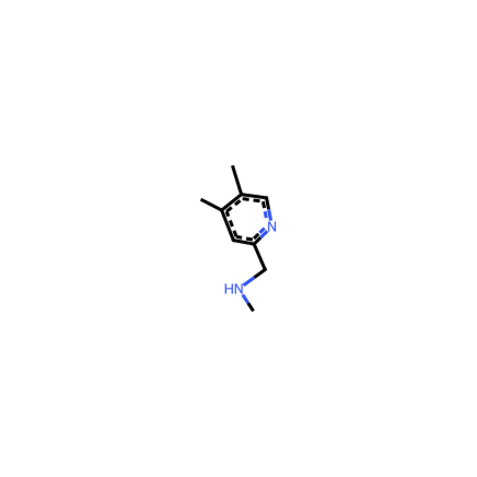 CNCc1cc(C)c(C)cn1